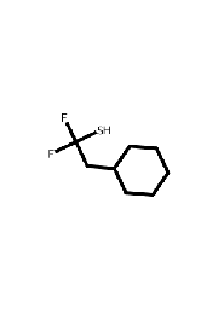 FC(F)(S)CC1CCCCC1